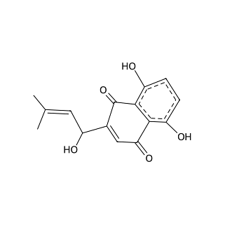 CC(C)=CC(O)C1=CC(=O)c2c(O)ccc(O)c2C1=O